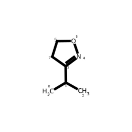 CC(C)C1=NO[CH]C1